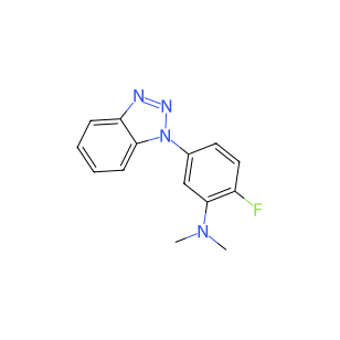 CN(C)c1cc(-n2nnc3ccccc32)ccc1F